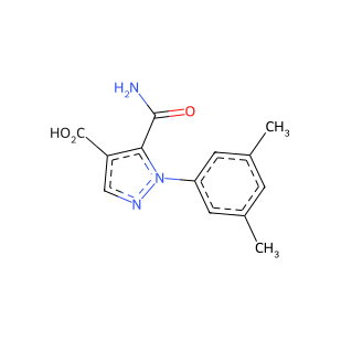 Cc1cc(C)cc(-n2ncc(C(=O)O)c2C(N)=O)c1